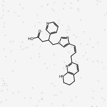 O=C(O)CC(Cn1cnc(/C=C\Cc2ccc3c(n2)NCCC3)c1)c1cccnc1